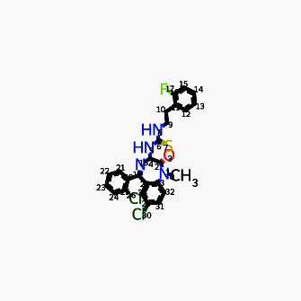 CN1C(=O)C(NC(=S)NCCc2ccccc2F)N=C(c2ccccc2Cl)c2cc(Cl)ccc21